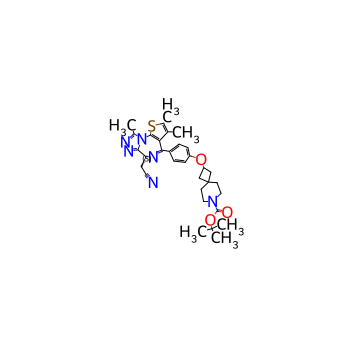 Cc1sc2c(c1C)C(c1ccc(OC3CC4(CCN(C(=O)OC(C)(C)C)CC4)C3)cc1)=N[C@@H](CC#N)c1nnc(C)n1-2